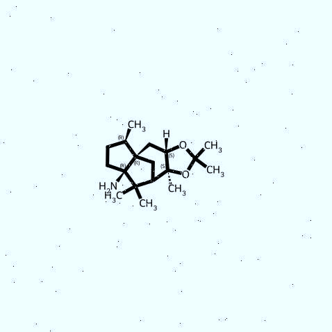 C[C@@H]1CC[C@@]2(N)C(C)(C)C3C[C@@]12C[C@@H]1OC(C)(C)O[C@@]31C